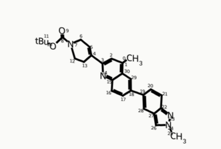 Cc1cc(C2=CCN(C(=O)OC(C)(C)C)CC2)nc2ccc(-c3ccc4nn(C)cc4c3)cc12